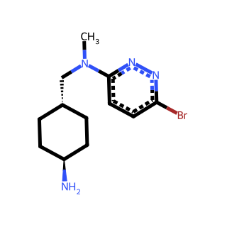 CN(C[C@H]1CC[C@H](N)CC1)c1ccc(Br)nn1